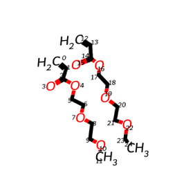 C=CC(=O)OCCOCCOC.C=CC(=O)OCCOCCOCC